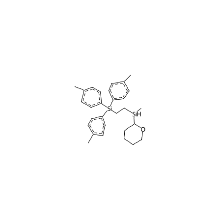 Cc1ccc([Si](CC[SiH](C)C2CCCCO2)(c2ccc(C)cc2)c2ccc(C)cc2)cc1